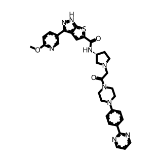 COc1ccc(-c2n[nH]c3sc(C(=O)N[C@@H]4CCN(CC(=O)N5CCN(c6ccc(-c7ncccn7)cc6)CC5)C4)cc23)cn1